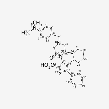 CN(C)c1ccc(CN2CC(=O)N(c3cc(-c4ccccc4)sc3C(=O)O)[C@H](C3CCCCC3)C2)cc1